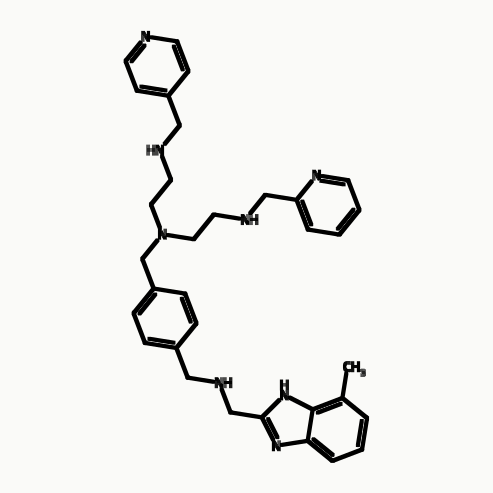 Cc1cccc2nc(CNCc3ccc(CN(CCNCc4ccncc4)CCNCc4ccccn4)cc3)[nH]c12